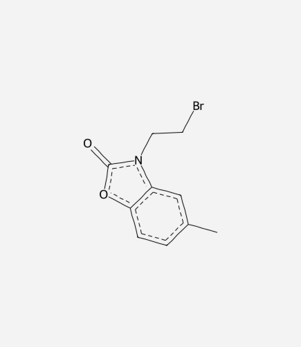 Cc1ccc2oc(=O)n(CCBr)c2c1